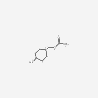 [CH2]CCC1CCN(COC(=O)C(C)(C)C)CC1